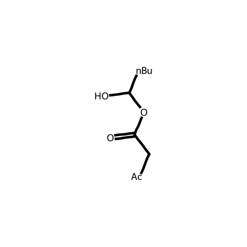 CCCCC(O)OC(=O)CC(C)=O